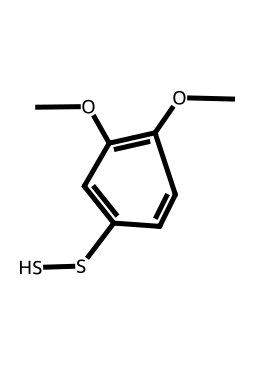 COc1ccc(SS)cc1OC